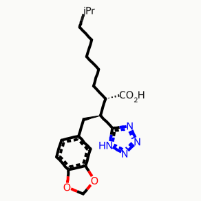 CC(C)CCCCC[C@H](C(=O)O)[C@H](Cc1ccc2c(c1)OCO2)c1nnn[nH]1